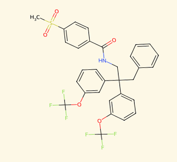 CS(=O)(=O)c1ccc(C(=O)NCC(Cc2ccccc2)(c2cccc(OC(F)(F)F)c2)c2cccc(OC(F)(F)F)c2)cc1